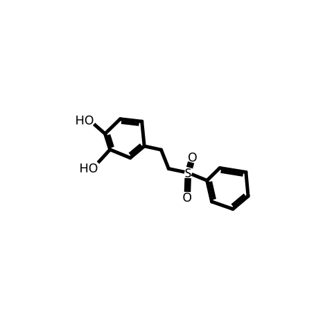 O=S(=O)(CCc1ccc(O)c(O)c1)c1ccccc1